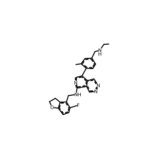 CCNCc1ccc(-c2cnc(NCc3c(F)ccc4c3CCO4)c3cnncc23)c(C)c1